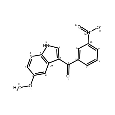 COc1cnc2[nH]cc(C(=O)c3cccc([N+](=O)[O-])c3)c2c1